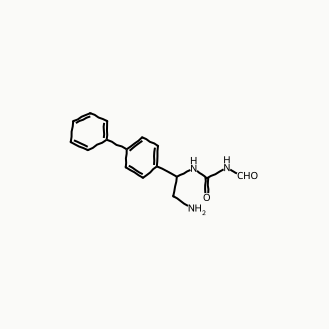 NCC(NC(=O)NC=O)c1ccc(-c2ccccc2)cc1